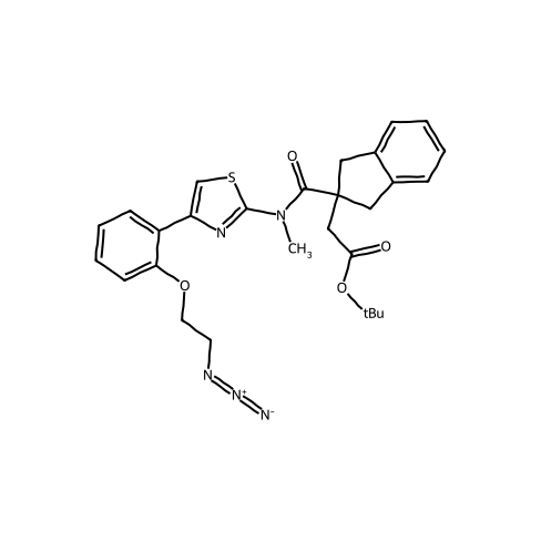 CN(C(=O)C1(CC(=O)OC(C)(C)C)Cc2ccccc2C1)c1nc(-c2ccccc2OCCN=[N+]=[N-])cs1